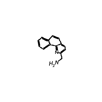 NCc1ccc2ccc3ccccc3c2n1